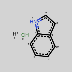 Cl.[H+].c1ccc2[nH]ccc2c1